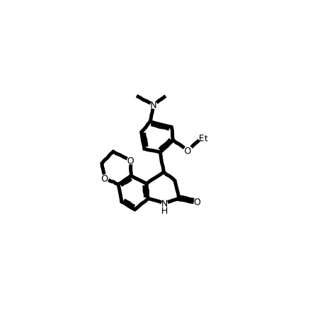 CCOc1cc(N(C)C)ccc1C1CC(=O)Nc2ccc3c(c21)OCCO3